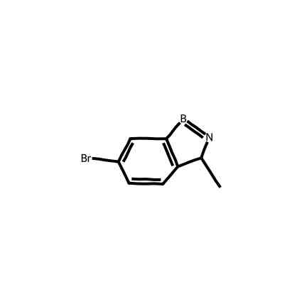 CC1N=Bc2cc(Br)ccc21